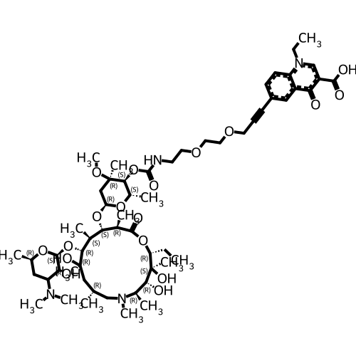 CC[C@H]1OC(=O)[C@H](C)[C@@H](O[C@H]2C[C@@](C)(OC)[C@@H](OC(=O)NCCOCCOCC#Cc3ccc4c(c3)c(=O)c(C(=O)O)cn4CC)[C@H](C)O2)[C@H](C)[C@@H](O[C@@H]2O[C@H](C)CC(N(C)C)[C@H]2O)[C@](C)(O)C[C@@H](C)CN(C)[C@H](C)[C@@H](O)[C@]1(C)O